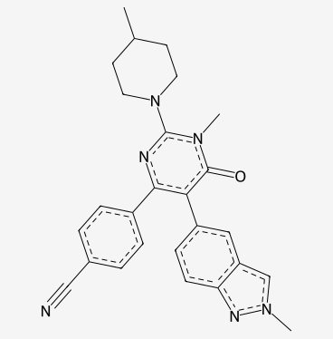 CC1CCN(c2nc(-c3ccc(C#N)cc3)c(-c3ccc4nn(C)cc4c3)c(=O)n2C)CC1